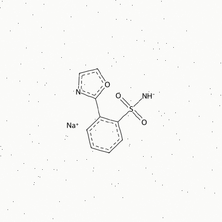 [NH-]S(=O)(=O)c1ccccc1-c1ncco1.[Na+]